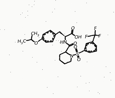 CC(C)Oc1ccc(C[C@H](NC(=O)C2CCCCN2S(=O)(=O)c2cccc(C(F)(F)F)c2)C(=O)O)cc1